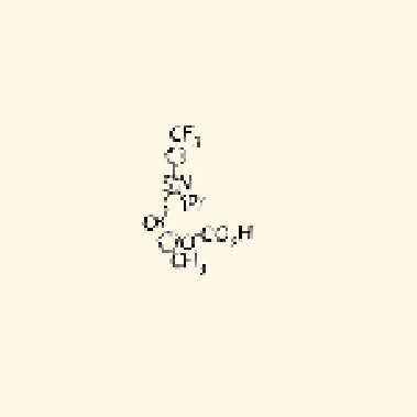 Cc1ccc(C(=O)CCc2sc(-c3ccc(C(F)(F)F)cc3)nc2C(C)C)cc1OCC(=O)O